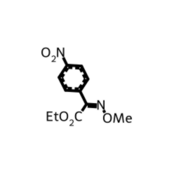 CCOC(=O)C(=NOC)c1ccc([N+](=O)[O-])cc1